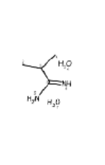 CC(C)C(=N)N.O.O